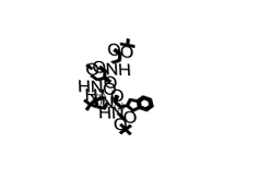 COCC(NC(=O)[C@@H]1[C@@H]2C(CN1C(=O)[C@@H](NC(=O)OC(C)(C)C)C1Cc3ccccc3C1)C2(C)C)C(=O)C(=O)NCCC(=O)OC(C)(C)C